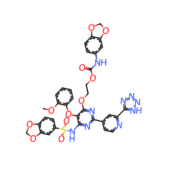 COc1ccccc1Oc1c(NS(=O)(=O)c2ccc3c(c2)OCO3)nc(-c2ccnc(-c3nnn[nH]3)c2)nc1OCCOC(=O)Nc1ccc2c(c1)OCO2